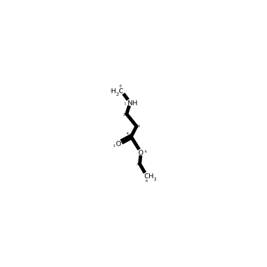 [CH2]NCCC(=O)OCC